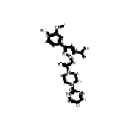 COc1cc(-c2cc(C(C)C)n(CC(=O)N3CCN(c4ncccn4)CC3)n2)ccc1F